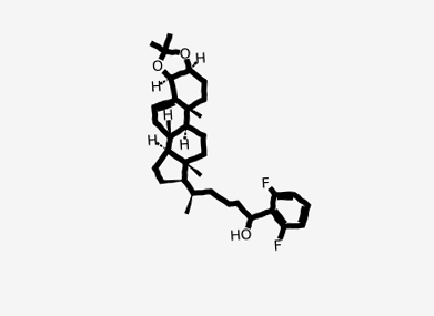 C[C@H](CCCC(O)c1c(F)cccc1F)[C@H]1CC[C@H]2[C@@H]3CC=C4[C@H]5OC(C)(C)O[C@H]5CC[C@]4(C)[C@H]3CC[C@]12C